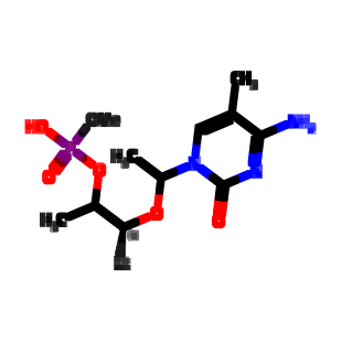 CC[C@H](OC(C)n1cc(C)c(N)nc1=O)C(C)OP(=O)(O)OC